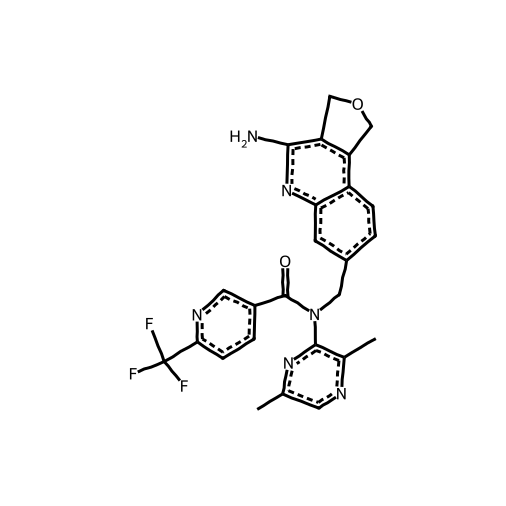 Cc1cnc(C)c(N(Cc2ccc3c4c(c(N)nc3c2)COC4)C(=O)c2ccc(C(F)(F)F)nc2)n1